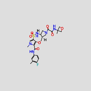 Cc1cc(NC(=O)c2c3c(cn2C)S(=O)(=O)N[C@H]2CN(C(=O)C(=O)NC4(C)COC4)C[C@H]2CO3)ccc1F